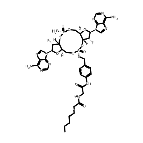 B[P@]1(=O)OC[C@H]2O[C@@H](n3cnc4c(N)ncnc43)[C@H](F)[C@@H]2O[P@](=O)(SCc2ccc(NC(=O)CNC(=O)CCCCCC)cc2)OC[C@H]2O[C@@H](n3cnc4c(N)ncnc43)[C@H](F)[C@@H]2O1